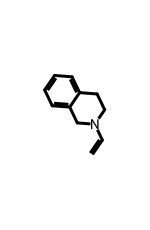 C=CN1CCc2ccccc2C1